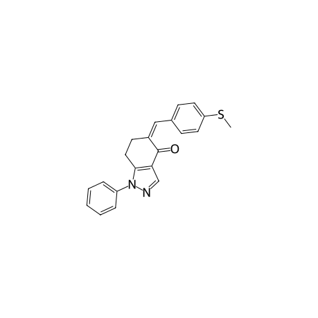 CSc1ccc(C=C2CCc3c(cnn3-c3ccccc3)C2=O)cc1